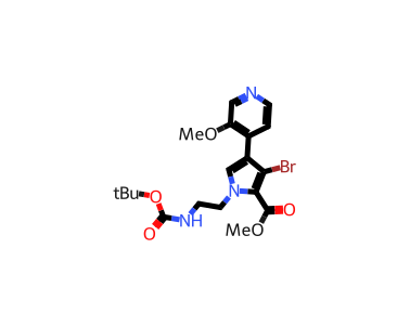 COC(=O)c1c(Br)c(-c2ccncc2OC)cn1CCNC(=O)OC(C)(C)C